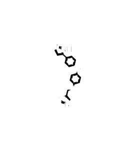 c1cc(-c2ccc(Oc3ccc(OCc4cnco4)cc3)cc2)[nH]n1